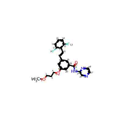 COCCCOc1cc(/C=C/c2c(F)cccc2F)cc(C(=O)Nc2cnccn2)c1